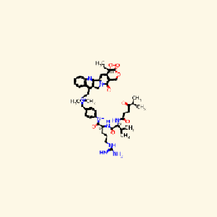 CC[C@@]1(O)C(=O)OCc2c1cc1n(c2=O)Cc2c-1nc1ccccc1c2CC[N+](C)(C)Cc1ccc(NC(=O)[C@H](CCCNC(=N)N)NC(=O)[C@@H](NC(=O)CCC(=O)C(C)C)C(C)C)cc1